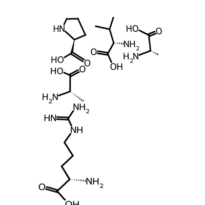 CC(C)[C@H](N)C(=O)O.C[C@H](N)C(=O)O.C[C@H](N)C(=O)O.N=C(N)NCCC[C@H](N)C(=O)O.O=C(O)[C@@H]1CCCN1